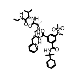 CCNC(=O)[C@@H](NC(=O)[C@H](C)NC[C@H](Cc1ccccn1)NC(=O)c1cc(C(=O)NC(C)(C)C2C=CC=CC2)cc(N(C)S(C)(=O)=O)c1)C(C)C